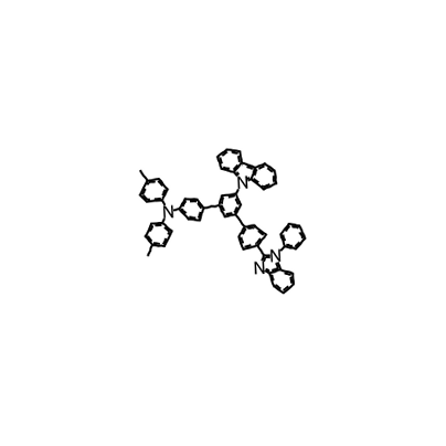 Cc1ccc(N(c2ccc(C)cc2)c2ccc(-c3cc(-c4ccc(-c5nc6ccccc6n5-c5ccccc5)cc4)cc(-n4c5ccccc5c5ccccc54)c3)cc2)cc1